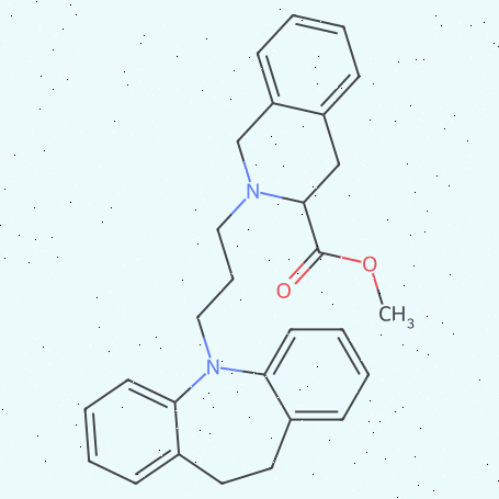 COC(=O)C1Cc2ccccc2CN1CCCN1c2ccccc2CCc2ccccc21